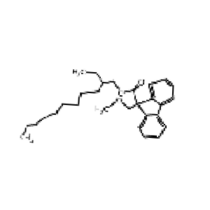 CCCCCCCCCC(CC)COC(=O)C1(COC)c2ccccc2-c2ccccc21